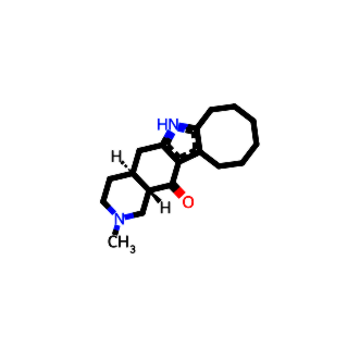 CN1CC[C@H]2Cc3[nH]c4c(c3C(=O)[C@@H]2C1)CCCCCC4